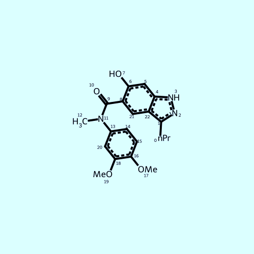 CCCc1n[nH]c2cc(O)c(C(=O)N(C)c3ccc(OC)c(OC)c3)cc12